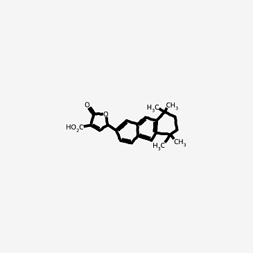 CC1(C)CCC(C)(C)c2cc3cc(C4C=C(C(=O)O)C(=O)O4)ccc3cc21